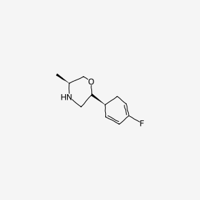 C[C@H]1COC([C@@H]2C=CC(F)=CC2)CN1